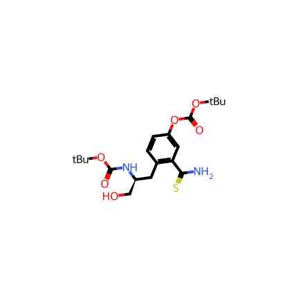 CC(C)(C)OC(=O)N[C@H](CO)Cc1ccc(OC(=O)OC(C)(C)C)cc1C(N)=S